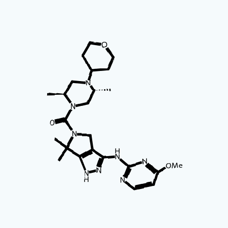 COc1ccnc(Nc2n[nH]c3c2CN(C(=O)N2C[C@@H](C)N(C4CCOCC4)C[C@@H]2C)C3(C)C)n1